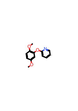 COc1ccc(OC)c(Oc2cc[c]cn2)c1